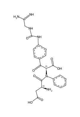 N=C(N)CNC(=O)Nc1ccc(C(=O)[C@@H](C(=O)O)N(C(=O)[C@@H](N)CC(=O)O)c2ccccc2)cc1